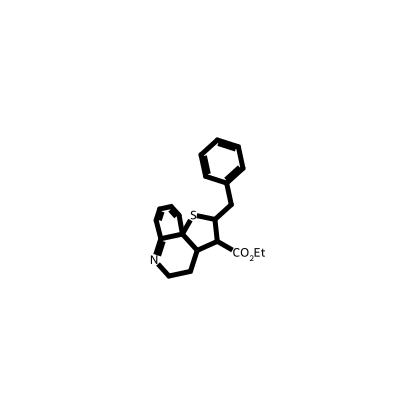 CCOC(=O)C1C(Cc2ccccc2)SC23C=CC=CC2=NCCC13